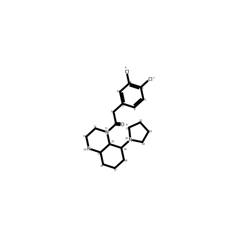 O=C(Cc1ccc(Cl)c(Cl)c1)N1CC[N]C2CCCC(N3CCCC3)C21